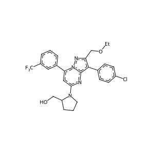 CCOCc1nn2c(-c3cccc(C(F)(F)F)c3)cc(N3CCCC3CO)nc2c1-c1ccc(Cl)cc1